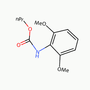 CCCOC(=O)Nc1c(OC)cccc1OC